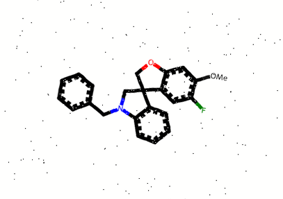 COc1cc2c(cc1F)C1(CO2)CN(Cc2ccccc2)c2ccccc21